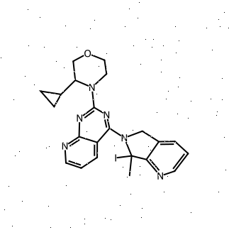 CC1(I)c2ncccc2CN1c1nc(N2CCOCC2C2CC2)nc2ncccc12